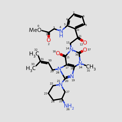 COC(=O)CNc1ccccc1C(=O)Cn1c(=O)c2c(nc(N3CCCC(N)C3)n2CC=C(C)C)n(C)c1=O